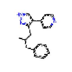 CC(Cc1ccccc1)Cc1n[nH]cc1-c1ccncc1